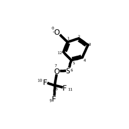 [O]c1cccc(SOC(F)(F)F)c1